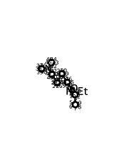 CCc1cc(-c2ccccc2)cc2nc(-c3ccc(-c4ccccc4-c4ccccc4-c4ccc(N(c5ccccc5)C5C=CC=CC5)cc4)cc3)oc12